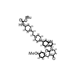 COc1ccc(CN2C(=O)CCN(c3cnc4cc(N5CCN(CCN6CCC(NC(=O)OC(C)(C)C)CC6)CC5)ccn34)C2=O)cc1